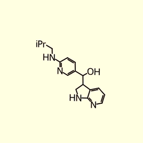 CC(C)CNc1ccc(C(O)C2CNc3ncccc32)cn1